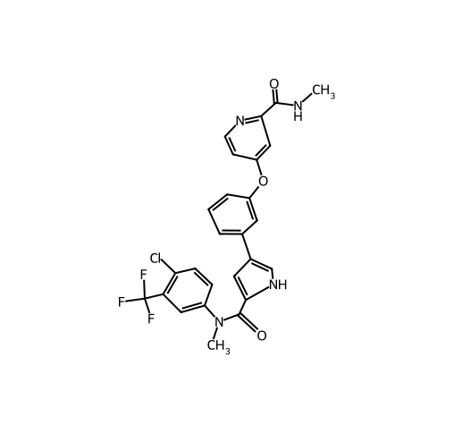 CNC(=O)c1cc(Oc2cccc(-c3c[nH]c(C(=O)N(C)c4ccc(Cl)c(C(F)(F)F)c4)c3)c2)ccn1